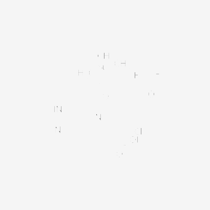 C[Si](C)(C)CCOCn1c(-c2ccnc3[nH]ccc23)cc(C(=O)O)c1-c1ccc(OC(F)F)cc1Cl